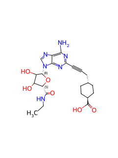 CCNC(=O)[C@H]1O[C@@H](n2cnc3c(N)nc(C#CC[C@H]4CC[C@H](C(=O)O)CC4)nc32)C(O)C1O